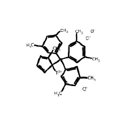 CC1=CC=C[C]1([Ti+3])C(c1cc(C)cc(C)c1)(c1cc(C)cc(C)c1)c1cc(C)cc(C)c1.[Cl-].[Cl-].[Cl-]